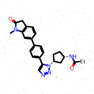 CCC(=O)N[C@H]1CC[C@@H](n2nncc2-c2ccc(-c3ccc4c(c3)N(C)C(=O)C4)cc2)C1